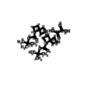 CC(C)(C)OC(=O)N1CCC12CNC2.CC(C)(C)OC(=O)N1CCC12CNC2.O=C(O)C(=O)O